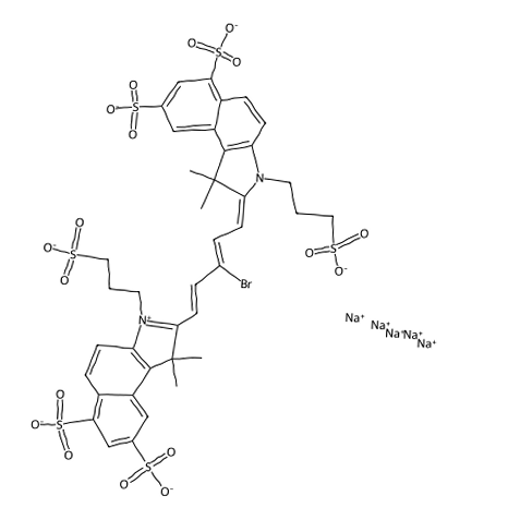 CC1(C)C(/C=C/C(Br)=C/C=C2/N(CCCS(=O)(=O)[O-])c3ccc4c(S(=O)(=O)[O-])cc(S(=O)(=O)[O-])cc4c3C2(C)C)=[N+](CCCS(=O)(=O)[O-])c2ccc3c(S(=O)(=O)[O-])cc(S(=O)(=O)[O-])cc3c21.[Na+].[Na+].[Na+].[Na+].[Na+]